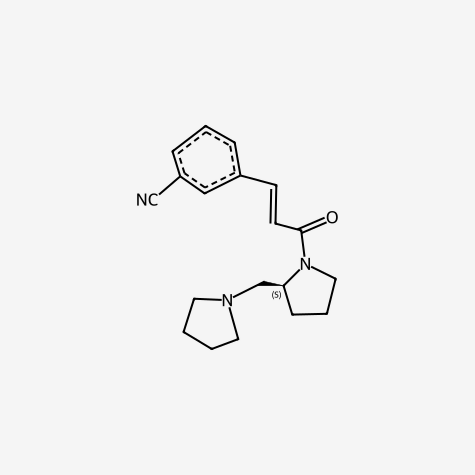 N#Cc1cccc(C=CC(=O)N2CCC[C@H]2CN2CCCC2)c1